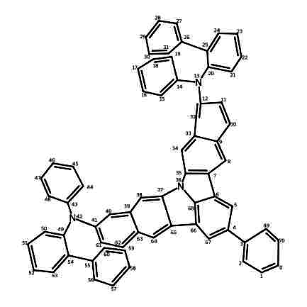 c1ccc(-c2cc3c4cc5ccc(N(c6ccccc6)c6ccccc6-c6ccccc6)cc5cc4n4c5cc6cc(N(c7ccccc7)c7ccccc7-c7ccccc7)ccc6cc5c(c2)c34)cc1